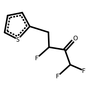 O=C(C(F)F)C(F)Cc1cccs1